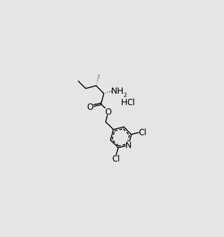 CC[C@H](C)[C@H](N)C(=O)OCc1cc(Cl)nc(Cl)c1.Cl